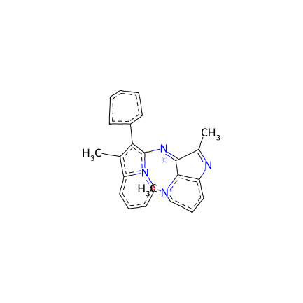 CC1=Nc2ccc[n+](C)c2/C1=N\c1c(-c2ccccc2)c(C)c2ccccn12